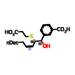 CCCCCCCCCCC/C=C\[C@H](SCCC(=O)O)[C@H](O)c1cccc(C(=O)O)c1